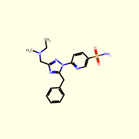 CCN(C)Cc1nc(Cc2ccccc2)n(-c2ccc(S(N)(=O)=O)cn2)n1